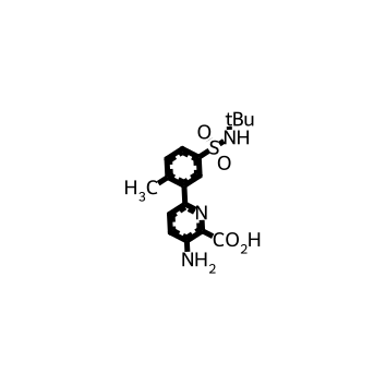 Cc1ccc(S(=O)(=O)NC(C)(C)C)cc1-c1ccc(N)c(C(=O)O)n1